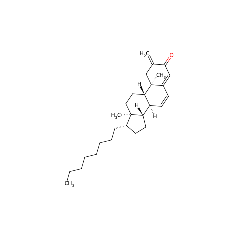 C=C1C[C@@]2(C)C(=CC1=O)C=C[C@H]1[C@@H]3CC[C@H](CCCCCCCC)[C@@]3(C)CC[C@@H]12